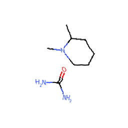 CC1CCCCN1C.NC(N)=O